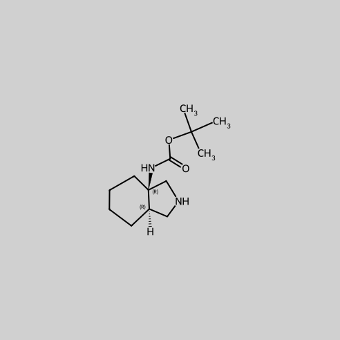 CC(C)(C)OC(=O)N[C@]12CCCC[C@@H]1CNC2